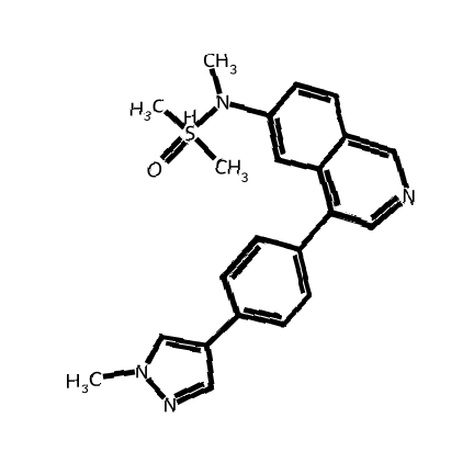 CN(c1ccc2cncc(-c3ccc(-c4cnn(C)c4)cc3)c2c1)[SH](C)(C)=O